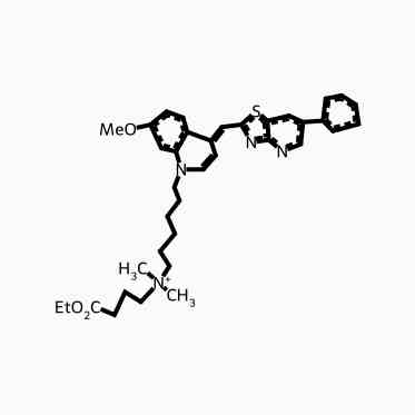 CCOC(=O)CCC[N+](C)(C)CCCCCCN1C=CC(=Cc2nc3ncc(-c4ccccc4)cc3s2)c2ccc(OC)cc21